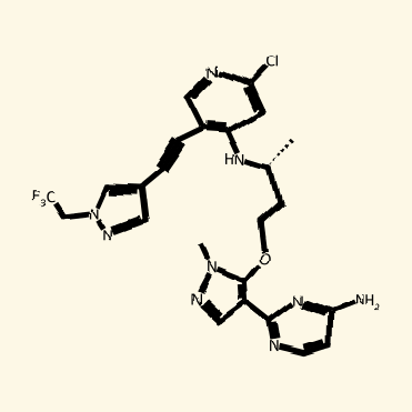 C[C@H](CCOc1c(-c2nccc(N)n2)cnn1C)Nc1cc(Cl)ncc1C#Cc1cnn(CC(F)(F)F)c1